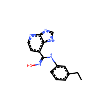 CCc1cccc(N/C(=N/O)c2ccnc3nc[nH]c23)c1